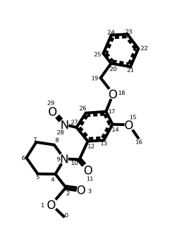 COC(=O)C1CCCCN1C(=O)c1cc(OC)c(OCc2ccccc2)cc1N=O